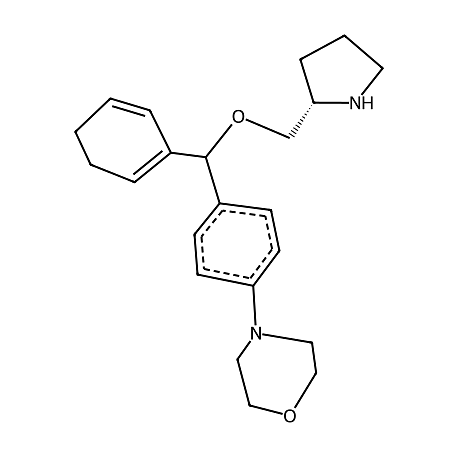 C1=CC(C(OC[C@@H]2CCCN2)c2ccc(N3CCOCC3)cc2)=CCC1